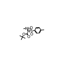 CNN(C(=O)OC(C)(C)C)S(=O)(=O)c1ccc(C)cc1